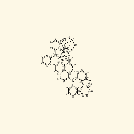 c1ccc(N(c2cccc3c2-c2ccccc2C2CC4CC(C2)CC3C4)c2ccc3ccc4c(N(c5ccccc5)c5cccc6oc7ccccc7c56)ccc5ccc2c3c54)cc1